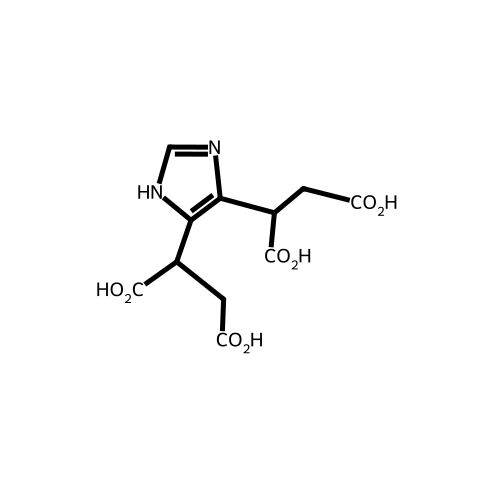 O=C(O)CC(C(=O)O)c1nc[nH]c1C(CC(=O)O)C(=O)O